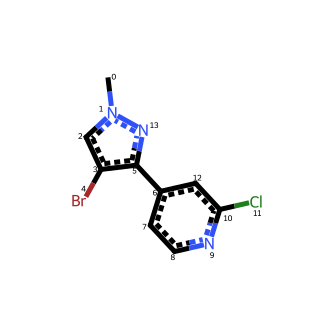 Cn1cc(Br)c(-c2ccnc(Cl)c2)n1